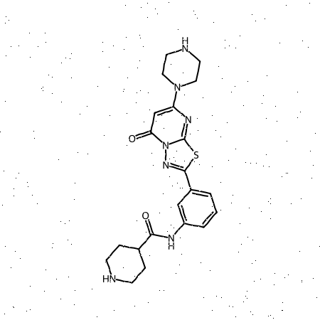 O=C(Nc1cccc(-c2nn3c(=O)cc(N4CCNCC4)nc3s2)c1)C1CCNCC1